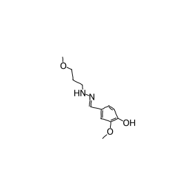 COCCCNN=Cc1ccc(O)c(OC)c1